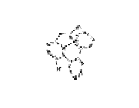 CC(C)C1=Cc2c(ccc(C(C)C)c2-c2ccccc2-c2ccccc2)[CH]1